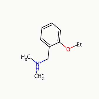 [CH2-][NH+](C)Cc1ccccc1OCC